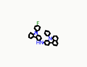 Fc1ccc(-n2c3ccccc3c3cc(Nc4ccc5c(c4)N(c4ccccc4)c4cccc6cccc-5c46)ccc32)cc1